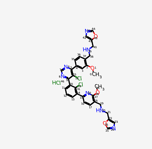 COc1cc(-c2ncnc(-c3cccc(-c4ccc(CNCc5cnco5)c(OC)n4)c3Cl)c2Cl)ccc1CNCc1cnco1.Cl